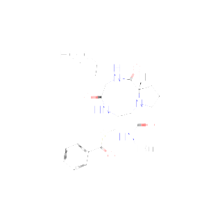 CC(C)(C)NC(=O)[C@@H]1[C@H](CSC(=O)c2ccccc2)NC(=O)[C@H](CCC(=O)O)NC(=O)[C@@H]2CCCN12